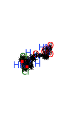 O=C1CCC(N2C(=O)c3cccc(CCCNC(=O)c4ccc([C@H]5C[C@H]6[C@@H](N5)[C@H](c5cccc(Cl)c5F)[C@]5(C(=O)Nc7cc(Cl)ccc75)N6CC5CC5)cc4)c3C2=O)C(=O)N1